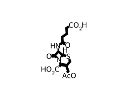 CC(=O)OCC1=C(C(=O)O)N2C(=O)[C@@H](NC(=O)CCCC(=O)O)[C@@H]2SC1